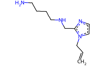 C=CCn1ccnc1CNCCCCN